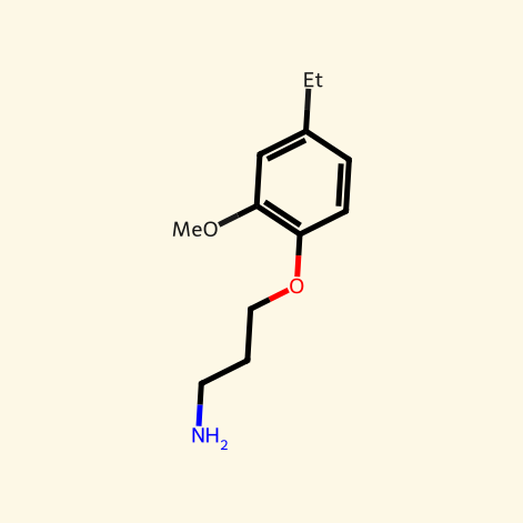 CCc1ccc(OCCCN)c(OC)c1